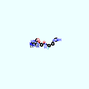 CCc1nc2c(cnn2CC)c(NC2CCOCC2)c1CNC(=O)c1cccc(C(=O)NCc2cc(F)cc(-c3cccc(CN4CCCNCC4)c3)c2)c1